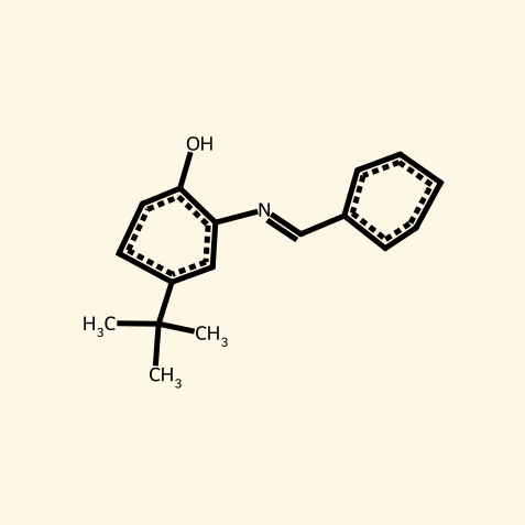 CC(C)(C)c1ccc(O)c(N=Cc2ccccc2)c1